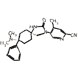 Cc1cc(C#N)ncc1N1C[C@]2(CC[C@@](c3ccccc3)(N(C)C)CC2)NC1=O